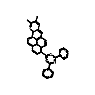 CC1=CC2=CC3=C4C(=CC=C5C=CC(c6nc(-c7ccccc7)nc(-c7ccccc7)n6)=C(C=C3)C54)C2N=C1C